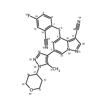 Cc1c(-c2cc(Sc3ccc(F)cc3C#N)c3c(C#N)cnn3c2)cnn1C1CCOCC1